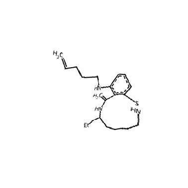 C=CCCCNc1cccc2c1C(=C)NC(CC)CCCCNS2